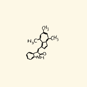 Cc1cc(C)c2ccc(C=C3C(=O)Nc4ccccc43)c-2c(C)c1